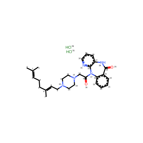 CC(C)=CCC/C(C)=C/CN1CCN(CC(=O)N2c3ccccc3C(=O)Nc3cccnc32)CC1.Cl.Cl